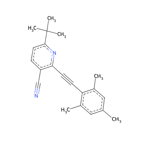 Cc1cc(C)c(C#Cc2nc(C(C)(C)C)ccc2C#N)c(C)c1